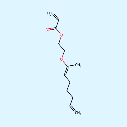 C=CCCC/C=C(\C)OCCOC(=O)C=C